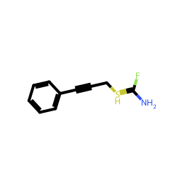 NC(F)=[SH]CC#Cc1ccccc1